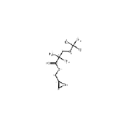 CCC(C)(CC)OCC(C)(C)C(=O)OCC1CO1